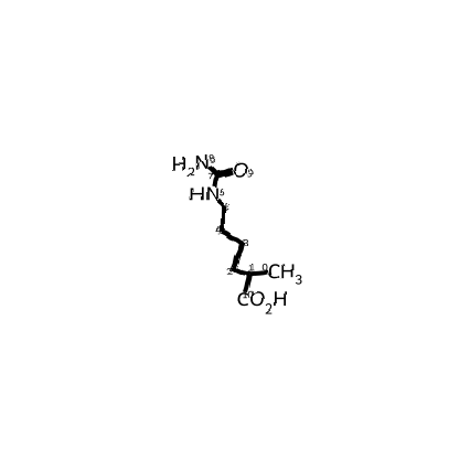 CC(CCCCNC(N)=O)C(=O)O